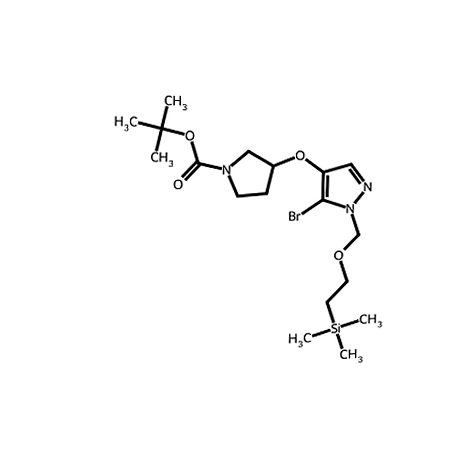 CC(C)(C)OC(=O)N1CCC(Oc2cnn(COCC[Si](C)(C)C)c2Br)C1